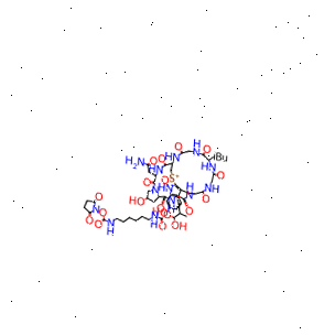 CCC(C)C1NC(=O)CNC(=O)C2Cc3c([nH]c4cc(O)ccc34)[S+]([O-])CC(NC(=O)CNC1=O)C(=O)NC(CC(N)=O)C(=O)N1CC(O)CC1C(=O)NC(C(C)C(O)OC(=O)NCCCCCCNC(=O)ON1C(=O)CCC1=O)C(=O)N2